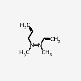 C=CCN(C)N(C)C=C